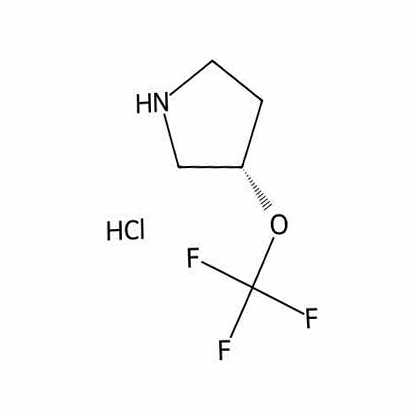 Cl.FC(F)(F)O[C@H]1CCNC1